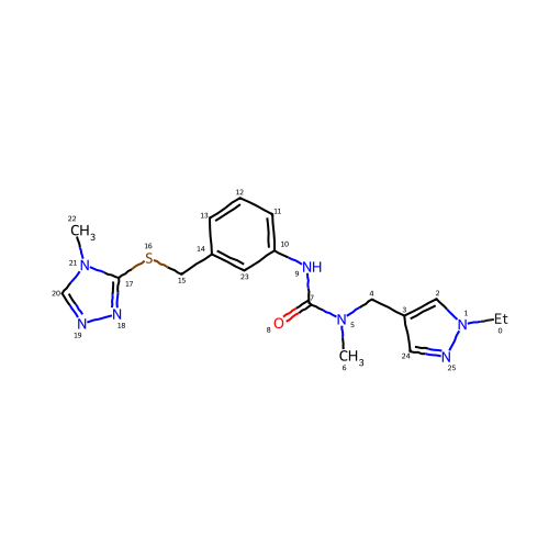 CCn1cc(CN(C)C(=O)Nc2cccc(CSc3nncn3C)c2)cn1